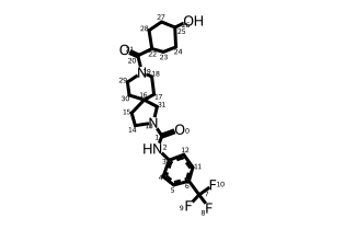 O=C(Nc1ccc(C(F)(F)F)cc1)N1CCC2(CCN(C(=O)C3CCC(O)CC3)CC2)C1